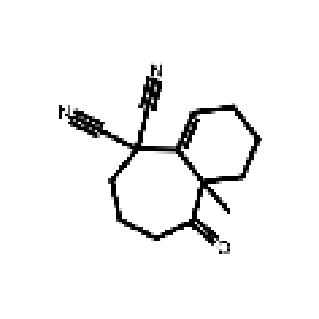 CC12CCCC=C1C(C#N)(C#N)CCCC2=O